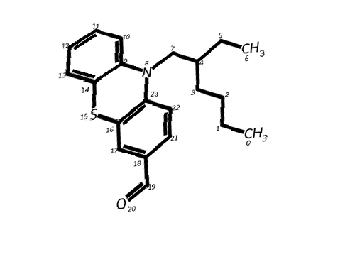 CCCCC(CC)CN1c2ccccc2Sc2cc(C=O)ccc21